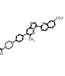 Cc1nn2c(-c3ccc4ccc(C(=O)O)cc4n3)cnc2cc1-c1ccc(N2CCN(C(=O)OC(C)(C)C)CC2)cc1